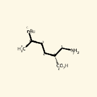 CCCCC(C)CC[C@H](CN)C(=O)O